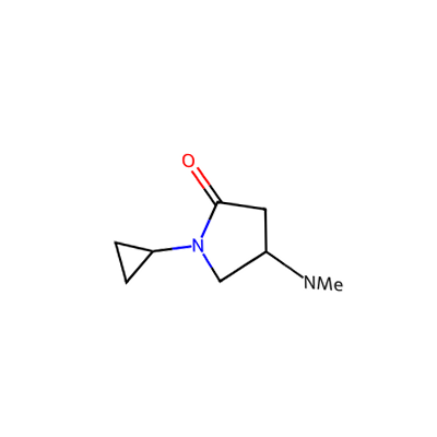 CNC1CC(=O)N(C2CC2)C1